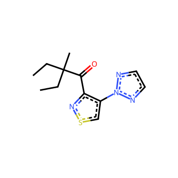 CCC(C)(CC)C(=O)c1nscc1-n1nccn1